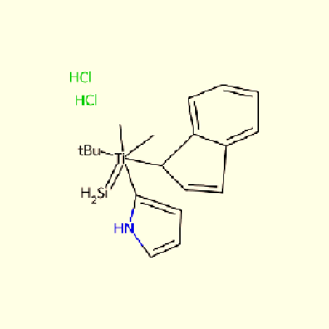 C[C](C)(C)[Ti]([CH3])([CH3])(=[SiH2])([c]1ccc[nH]1)[CH]1C=Cc2ccccc21.Cl.Cl